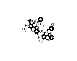 CC(=O)C1=C(C)NC(C)=C(C(=O)OCc2cccc(Cl)c2)C1c1csc2ncccc12.CC(=O)C1=C(C)NC(C2CC2)=C(C(=O)OC(C)(C)c2ccccc2)C1c1csc2c(Br)cccc12